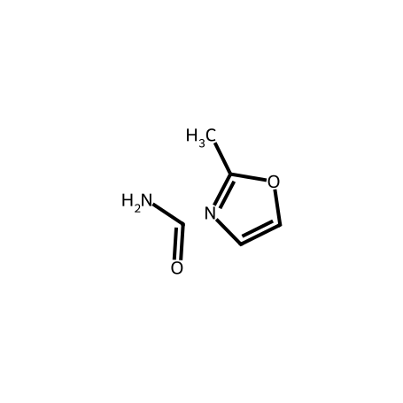 Cc1ncco1.NC=O